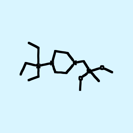 CC[Si](CC)(CC)N1CCN(C[Si](C)(OC)OC)CC1